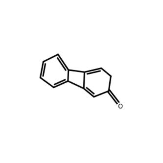 O=C1C=C2C(=CC1)c1ccccc12